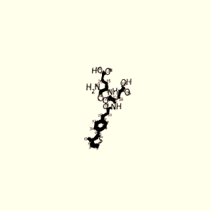 Cc1ccsc1-c1ccc(CCC(=O)N[C@@H](CCC(=O)O)C(=O)NC(CCC(=O)O)C(N)=O)cc1